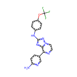 Nc1ccc(-c2nccn3nc(Nc4ccc(OC(F)(F)F)cc4)nc23)cn1